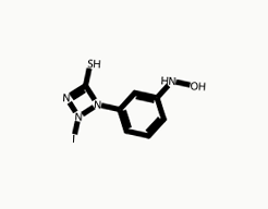 ONc1cccc(-n2c(S)nn2I)c1